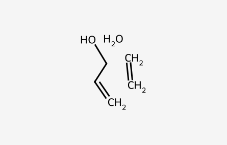 C=C.C=CCO.O